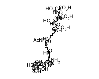 CC(=O)NC(CSSCCC(=O)NCC#Cc1cn(C2CC(O)C(COP(=O)(O)OP(=O)(O)OP(=O)(O)O)O2)c2ncnc(N)c12)C(=O)NCCCCCC(=O)NC(CC(=O)NC(CC(=O)NC(CC(=O)NC(CC(=O)O)C(=O)O)C(=O)O)C(=O)O)C(=O)O